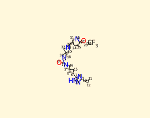 O=C(N1CC2(CC(c3nc(C4CC4)n[nH]3)C2)C1)N1CC2(CN(Cc3ccc(OCC(F)(F)F)nc3)C2)C1